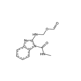 CNC(=O)n1c(NCOC=O)nc2ccccc21